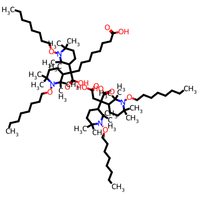 CCCCCCCCON1C(C)(C)CCC(C(CC(=O)O)(C(=O)O)C2CCC(C)(C)N(OCCCCCCCC)C2(C)C)C1(C)C.CCCCCCCCON1C(C)(C)CCC(C(CCCCCCCC(=O)O)(C(=O)O)C2CCC(C)(C)N(OCCCCCCCC)C2(C)C)C1(C)C